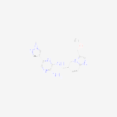 CC(C)OCc1cnc2n1CC(CNc1nc(-c3cnn(C)c3)cnc1N)C=C2